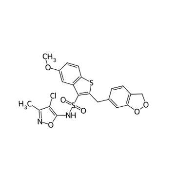 COc1ccc2sc(Cc3ccc4c(c3)OOC4)c(S(=O)(=O)Nc3onc(C)c3Cl)c2c1